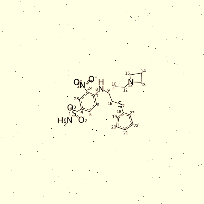 NS(=O)(=O)c1ccc(N[C@H](CCN2CCC2)CSc2ccccc2)c([N+](=O)[O-])c1